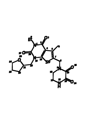 CCn1c(=O)c2c(C)c(CN3CCNC(=O)C3=O)sc2n(CC2CCCO2)c1=O